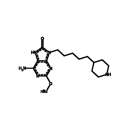 CCCCOc1nc(N)c2[nH]c(=O)n(CCCCCC3CCNCC3)c2n1